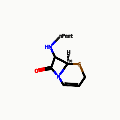 CCCCCNC1C(=O)N2C=CCS[C@H]12